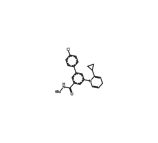 CC(C)(C)NC(=O)c1cc(-c2ccc(Cl)cc2)cc(N2C=CCC=C2C2CC2)c1